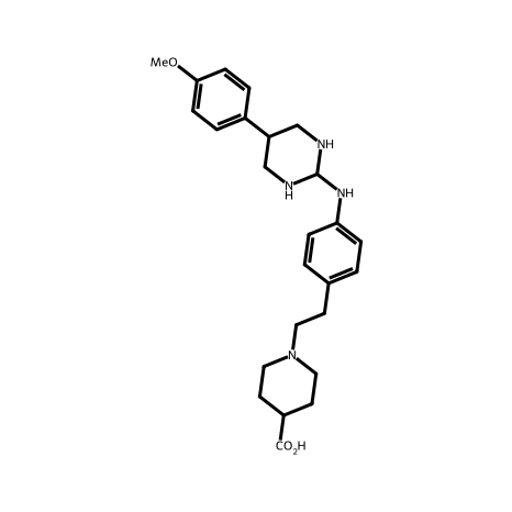 COc1ccc(C2CNC(Nc3ccc(CCN4CCC(C(=O)O)CC4)cc3)NC2)cc1